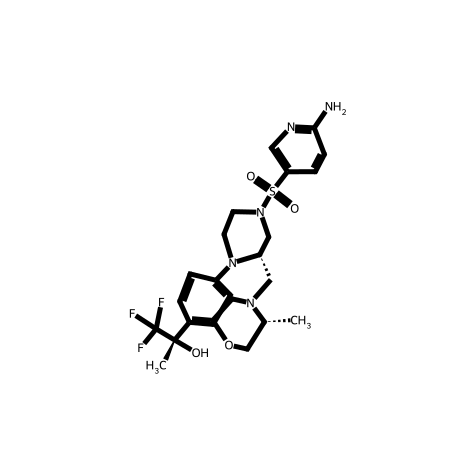 C[C@@H]1COCCN1C[C@H]1CN(S(=O)(=O)c2ccc(N)nc2)CCN1c1ccc([C@](C)(O)C(F)(F)F)cc1